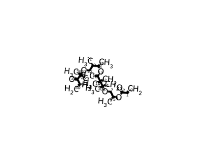 C=CC(=O)OC(C)COC(C)(C)C(C)(C)C(C)OC(C)C(C)COC(C)(C)C(=O)C=C